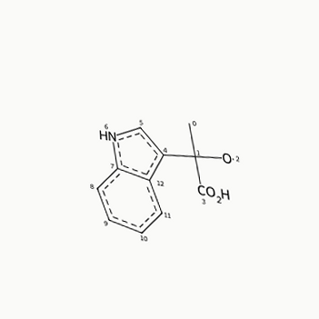 CC([O])(C(=O)O)c1c[nH]c2ccccc12